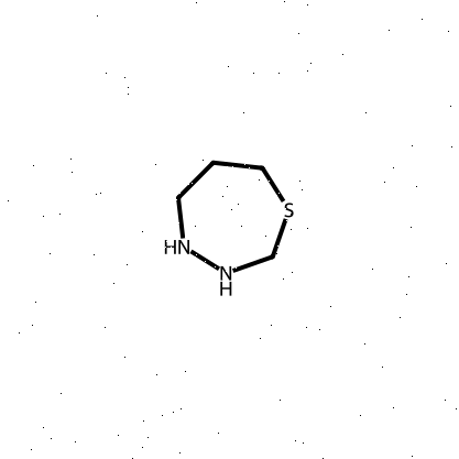 C1CNNCSC1